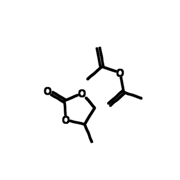 C=C(C)OC(=C)C.CC1COC(=O)O1